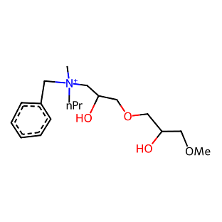 CCC[N+](C)(Cc1ccccc1)CC(O)COCC(O)COC